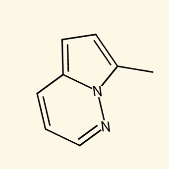 Cc1ccc2cccnn12